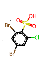 O=S(=O)(O)c1c(Cl)cc(Br)cc1Br